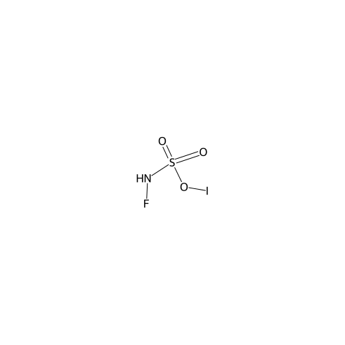 O=S(=O)(NF)OI